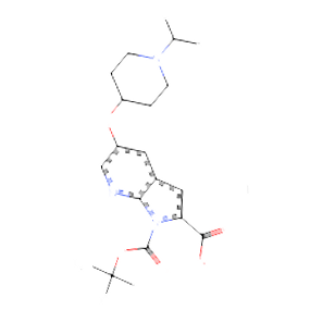 CC(C)N1CCC(Oc2cnc3c(c2)cc(C(=O)O)n3C(=O)OC(C)(C)C)CC1.[LiH]